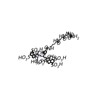 CC1(C)C(=CC=C(/C=C/C2N(CCS(=O)(=O)O)c3ccc4c(S(=O)(=O)O)cc(S(=O)(=O)O)cc4c3C2(C)C)c2ccc(C(=O)NCCCCCC(=O)NCCC(=O)Nc3nnc(S(N)(=O)=O)s3)cn2)N(CCS(=O)(=O)O)c2ccc3c(S(=O)(=O)O)cc(S(=O)(=O)O)cc3c21